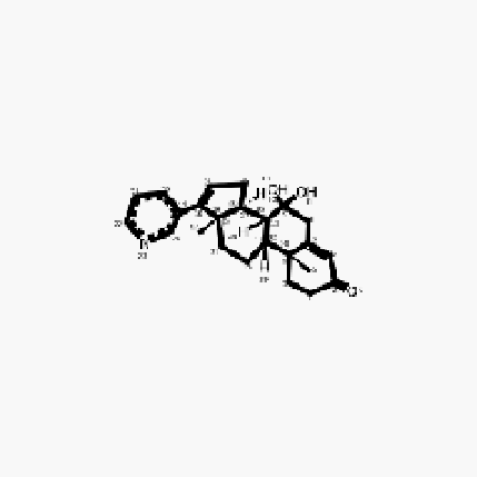 C[C@]12CCC(=O)C=C1CC(O)(O)[C@@H]1[C@H]2CC[C@]2(C)C(c3cccnc3)=CC[C@@H]12